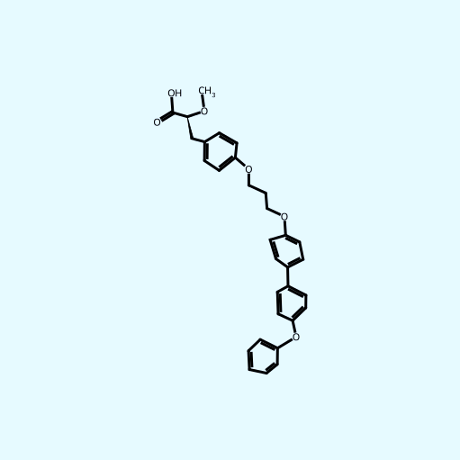 CO[C@@H](Cc1ccc(OCCCOc2ccc(-c3ccc(Oc4ccccc4)cc3)cc2)cc1)C(=O)O